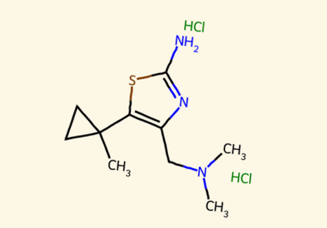 CN(C)Cc1nc(N)sc1C1(C)CC1.Cl.Cl